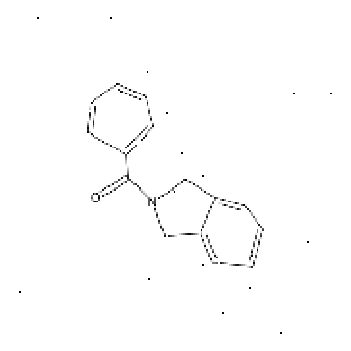 O=C(c1ccccc1)N1Cc2ccccc2C1